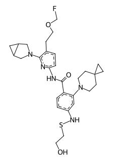 O=C(Nc1ccc(CCOCF)c(N2CC3CC3C2)n1)c1ccc(NSCCO)cc1N1CCC2(CC1)CC2